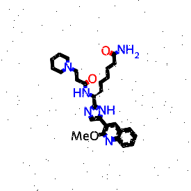 COc1nc2ccccc2cc1-c1cnc([C@H](CCCCCC(N)=O)NC(=O)CCN2CCCCC2)[nH]1